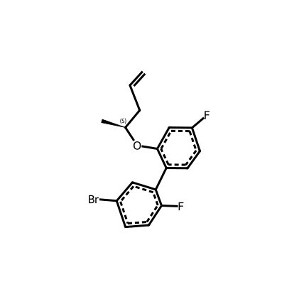 C=CC[C@H](C)Oc1cc(F)ccc1-c1cc(Br)ccc1F